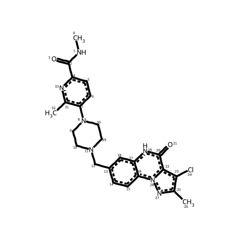 CNC(=O)c1ccc(N2CCN(Cc3ccc4c(c3)[nH]c(=O)c3c(Cl)c(C)nn34)CC2)c(C)n1